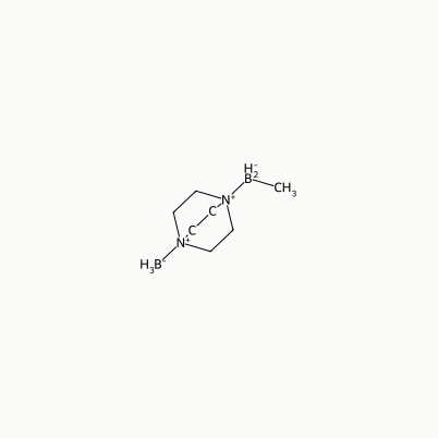 [BH3-][N+]12CC[N+]([BH2-]C)(CC1)CC2